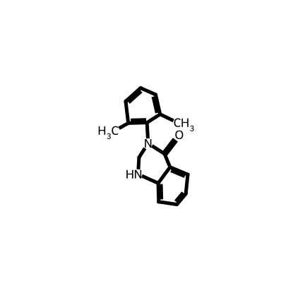 Cc1cccc(C)c1N1CNc2ccccc2C1=O